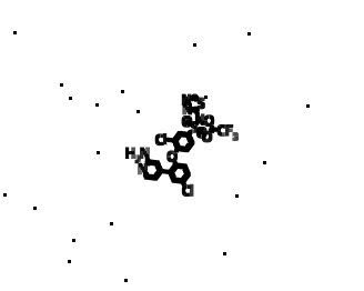 Nc1cc(-c2cc(Cl)ccc2Oc2ccc(S(=O)(=O)N(OC(=O)C(F)(F)F)c3nncs3)cc2Cl)ccn1